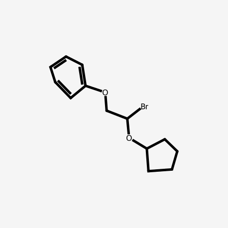 BrC(COc1ccccc1)OC1CCCC1